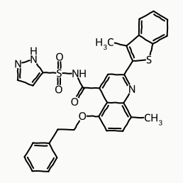 Cc1c(-c2cc(C(=O)NS(=O)(=O)c3ccn[nH]3)c3c(OCCc4ccccc4)ccc(C)c3n2)sc2ccccc12